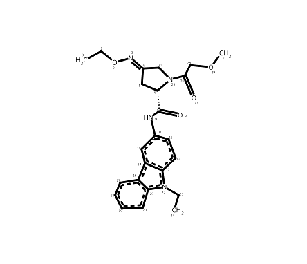 CCO/N=C1\C[C@@H](C(=O)Nc2ccc3c(c2)c2ccccc2n3CC)N(C(=O)COC)C1